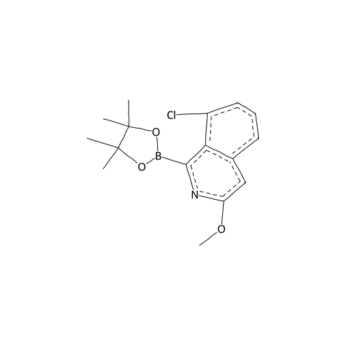 COc1cc2cccc(Cl)c2c(B2OC(C)(C)C(C)(C)O2)n1